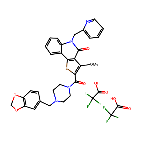 COc1c(C(=O)N2CCN(Cc3ccc4c(c3)OCO4)CC2)sc2c1c(=O)n(Cc1ccccn1)c1ccccc21.O=C(O)C(F)(F)F.O=C(O)C(F)(F)F